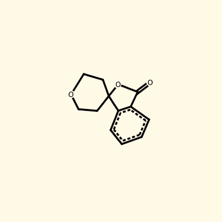 O=C1OC2(CCOCC2)c2ccccc21